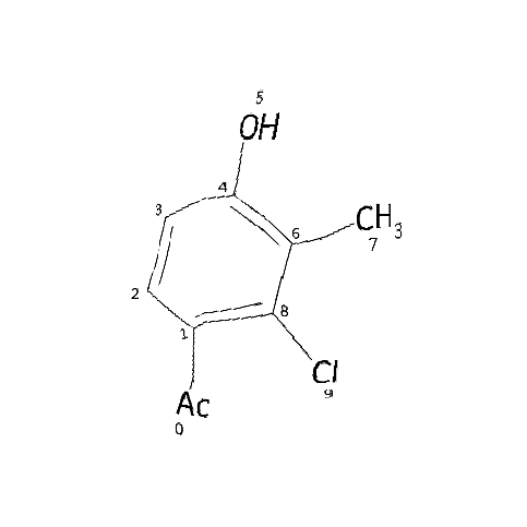 CC(=O)c1ccc(O)c(C)c1Cl